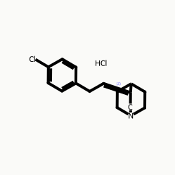 Cl.Clc1ccc(C/C=C2\CN3CCC2CC3)cc1